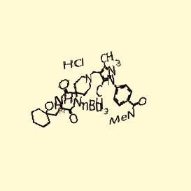 CCCCN1C(=O)[C@@H](CC2(O)CCCCC2)NC(=O)C12CCN(Cc1c(C)nn(-c3ccc(C(=O)NC)cc3)c1C)CC2.Cl